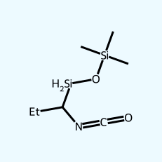 CCC(N=C=O)[SiH2]O[Si](C)(C)C